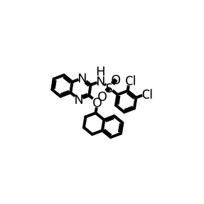 O=S(=O)(Nc1nc2ccccc2nc1OC1CCCc2ccccc21)c1cccc(Cl)c1Cl